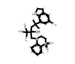 CC(C)(CC(O)(CN1CCS(=O)(=O)c2ccccc21)C(F)(F)F)c1cc(F)cc2c1OCC2